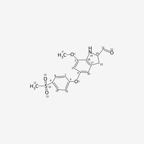 COc1cc(Oc2ccc(S(C)(=O)=O)cc2)cc2c1NC(C=O)C2